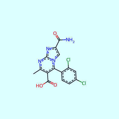 Cc1nc2nc(C(N)=O)cn2c(-c2ccc(Cl)cc2Cl)c1C(=O)O